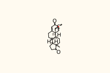 C=C=C[C@]12C=CC(=O)C=C1CC[C@@H]1[C@@H]2CC[C@]2(C)C(=O)CC[C@@H]12